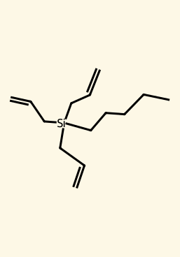 C=CC[Si](CC=C)(CC=C)CCCCC